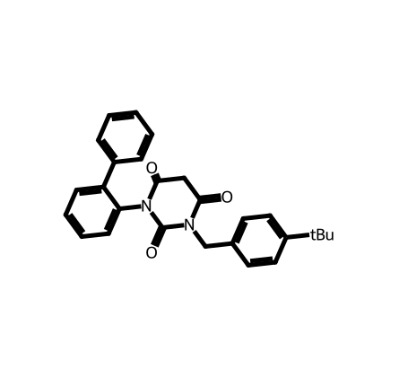 CC(C)(C)c1ccc(CN2C(=O)CC(=O)N(c3ccccc3-c3ccccc3)C2=O)cc1